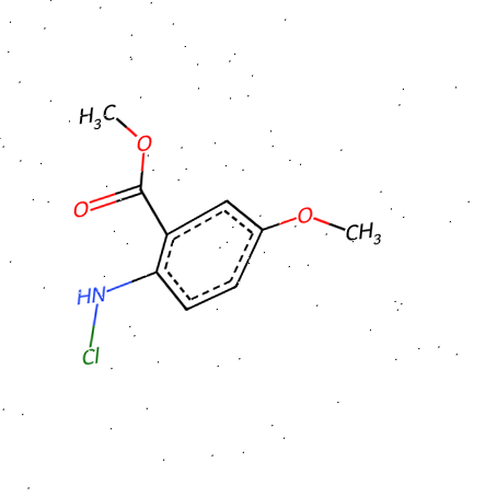 COC(=O)c1cc(OC)ccc1NCl